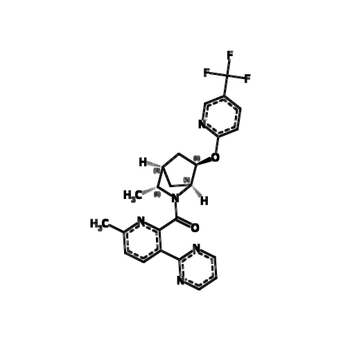 Cc1ccc(-c2ncccn2)c(C(=O)N2[C@H](C)[C@H]3C[C@@H](Oc4ccc(C(F)(F)F)cn4)[C@@H]2C3)n1